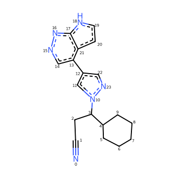 N#CCC(C1CCCCC1)n1cc(-c2cnnc3[nH]ccc23)cn1